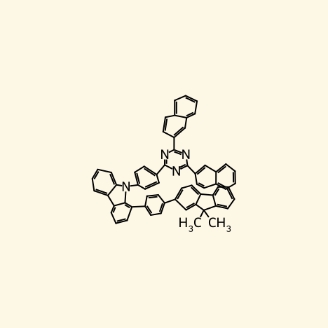 CC1(C)c2ccccc2-c2ccc(-c3ccc(-c4cccc5c6ccccc6n(-c6ccc(-c7nc(-c8ccc9ccccc9c8)nc(-c8ccc9ccccc9c8)n7)cc6)c45)cc3)cc21